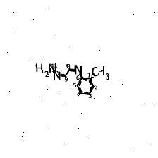 Cc1ccccc1/N=C\C=N/N